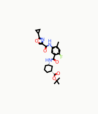 Cc1cc(F)c(C(=O)N[C@H]2CCC[C@@H](C(=O)OC(C)(C)C)C2)cc1NC(=O)c1coc(C2CC2)n1